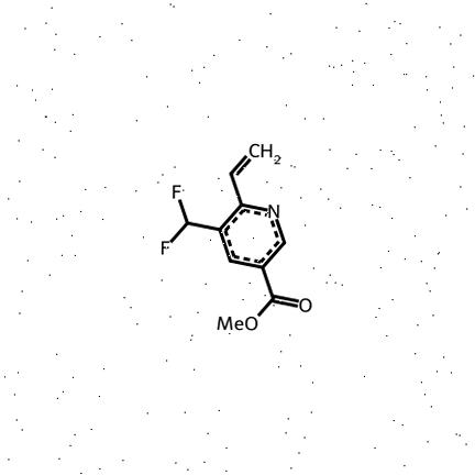 C=Cc1ncc(C(=O)OC)cc1C(F)F